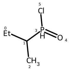 CCC(C)[PH](=O)Cl